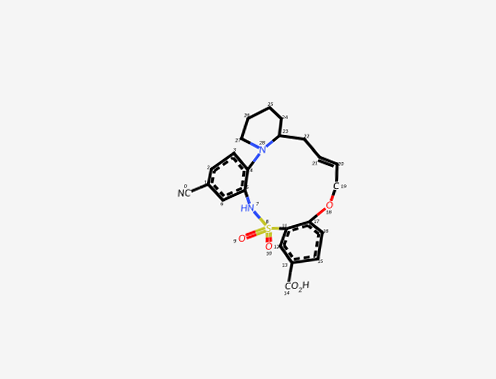 N#Cc1ccc2c(c1)NS(=O)(=O)c1cc(C(=O)O)ccc1OC/C=C/CC1CCCCN21